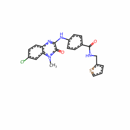 Cn1c(=O)c(Nc2ccc(C(=O)NCc3cccs3)cc2)nc2ccc(Cl)cc21